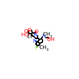 CC[C@@]1(O)C(=O)OCc2c1cc1n(c2=O)Cc2c-1nc1cc(F)c(C)c3c1c2C(CN(C)CCO)CC3